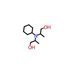 CC(CO)N(C(C)CO)C1CCCCC1